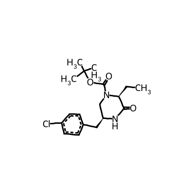 CC[C@H]1C(=O)N[C@@H](Cc2ccc(Cl)cc2)CN1C(=O)OC(C)(C)C